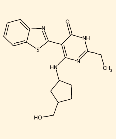 CCc1nc(NC2CCC(CO)C2)c(-c2nc3ccccc3s2)c(=O)[nH]1